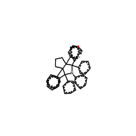 c1ccc(N2C(c3ccccc3)(c3ccccc3)C3(c4ccccc4)CCCC3(c3ccccc3)C2(c2ccccc2)c2ccccc2)cc1